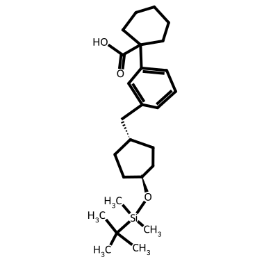 CC(C)(C)[Si](C)(C)O[C@H]1CC[C@H](Cc2cccc(C3(C(=O)O)CCCCC3)c2)CC1